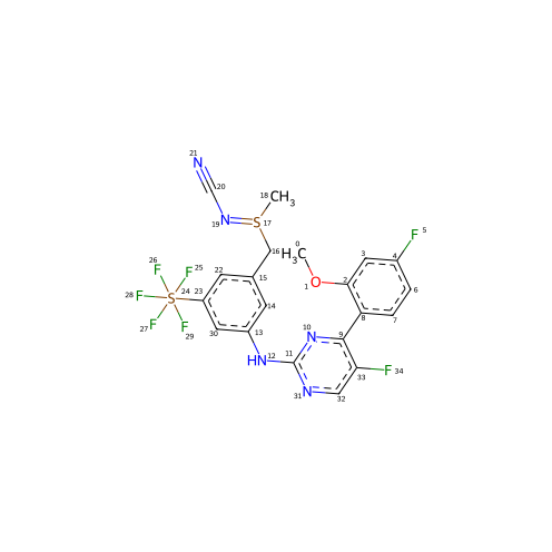 COc1cc(F)ccc1-c1nc(Nc2cc(CS(C)=NC#N)cc(S(F)(F)(F)(F)F)c2)ncc1F